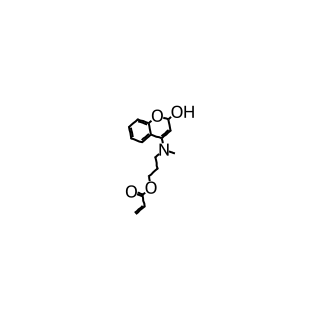 C=CC(=O)OCCCN(C)C1=CC(O)Oc2ccccc21